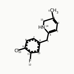 CC1=CC=C(Cc2ccc(Cl)c(F)c2)NC1